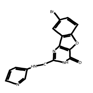 O=c1[nH]c(CNc2cccnc2)nc2c1oc1ccc(Br)cc12